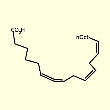 CCCCCCCC/C=C\C/C=C\CC=C=CCCCCC(=O)O